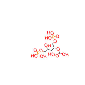 O=C(O)O[C@H](COP(=O)(O)O)[C@H](O)[C@H](O)COP(=O)(O)O